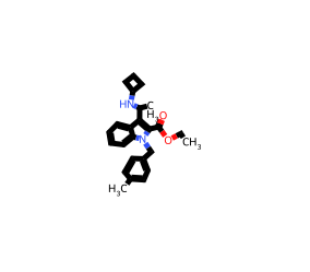 CCOC(=O)c1c(C(C)NC2CCC2)c2ccccc2n1Cc1ccc(C)cc1